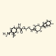 Nc1ccc(NC(=O)OCCCN2CCC(c3nc4ccccc4s3)CC2)cc1F